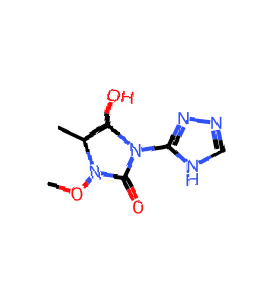 CON1C(=O)N(c2nnc[nH]2)C(O)C1C